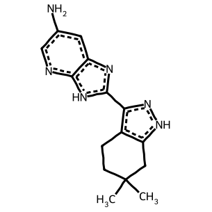 CC1(C)CCc2c(-c3nc4cc(N)cnc4[nH]3)n[nH]c2C1